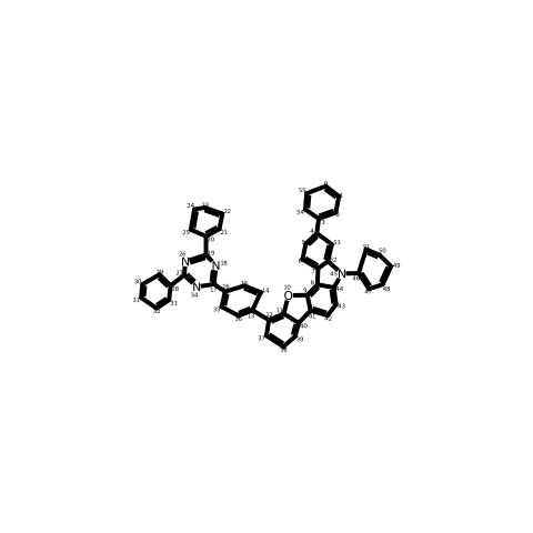 c1ccc(-c2ccc3c4c5oc6c(-c7ccc(-c8nc(-c9ccccc9)nc(-c9ccccc9)n8)cc7)cccc6c5ccc4n(-c4ccccc4)c3c2)cc1